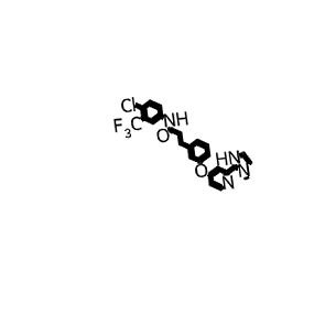 CN1CCNC1c1cc(Oc2cccc(CCC(=O)Nc3ccc(Cl)c(C(F)(F)F)c3)c2)ccn1